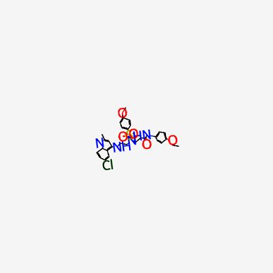 CCOc1ccc(NC(=O)CCN(CCNc2cc(C)nc3ccc(Cl)cc23)S(=O)(=O)c2ccc(OC)cc2)cc1